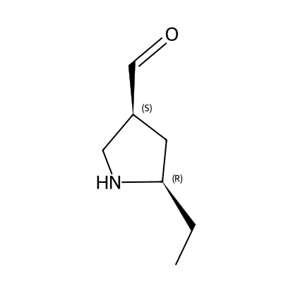 CC[C@@H]1C[C@H](C=O)CN1